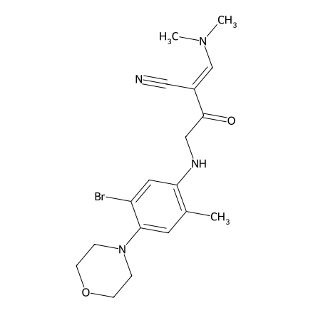 Cc1cc(N2CCOCC2)c(Br)cc1NCC(=O)/C(C#N)=C/N(C)C